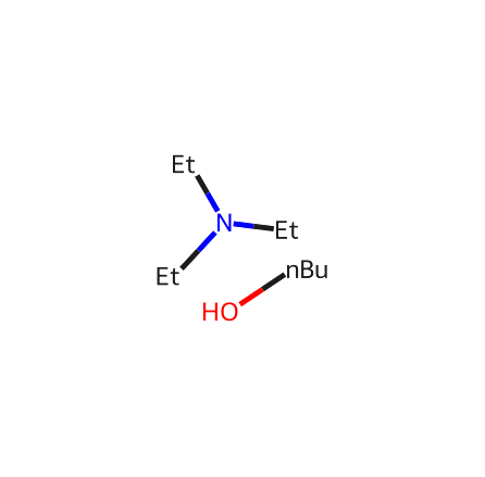 CCCCO.CCN(CC)CC